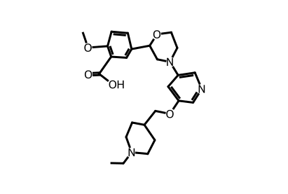 CCN1CCC(COc2cncc(N3CCOC(c4ccc(OC)c(C(=O)O)c4)C3)c2)CC1